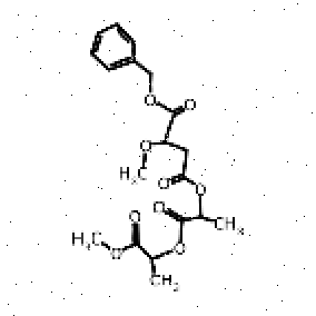 COC(=O)C(C)OC(=O)C(C)OC(=O)CC(OC)C(=O)OCc1ccccc1